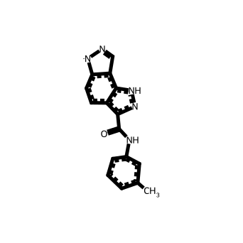 Cc1cccc(NC(=O)c2n[nH]c3c4c(ccc23)[N]N=C4)c1